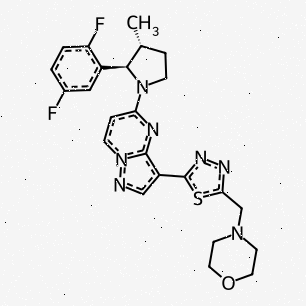 C[C@@H]1CCN(c2ccn3ncc(-c4nnc(CN5CCOCC5)s4)c3n2)[C@H]1c1cc(F)ccc1F